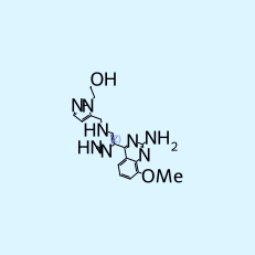 COc1cccc2c(/C(=C/NCc3ccnn3CCO)N=N)nc(N)nc12